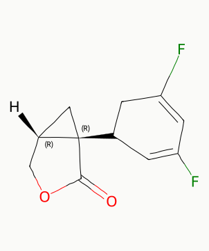 O=C1OC[C@@H]2C[C@]12C1C=C(F)C=C(F)C1